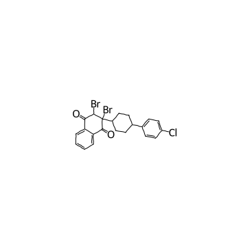 O=C1c2ccccc2C(=O)C(Br)(C2CCC(c3ccc(Cl)cc3)CC2)C1Br